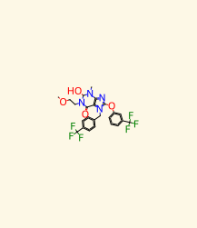 COCCN1C(=O)c2c(nc(Oc3cccc(C(F)(F)F)c3)n2Cc2ccc(C(F)(F)F)cc2)N(C)C1O